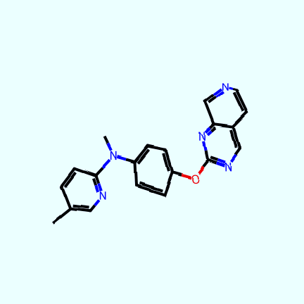 Cc1ccc(N(C)c2ccc(Oc3ncc4ccncc4n3)cc2)nc1